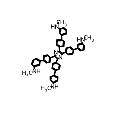 CNc1ccc(-c2ccc(-c3nc(-c4ccc(-c5cccc(NC)c5)cc4)c(-c4ccc(-c5cccc(NC)c5)cc4)nc3-c3ccc(-c4cccc(NC)c4)cc3)cc2)cc1